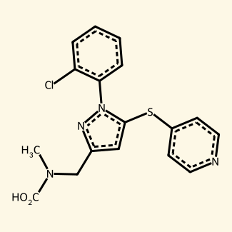 CN(Cc1cc(Sc2ccncc2)n(-c2ccccc2Cl)n1)C(=O)O